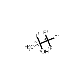 C[C@](O)(I)C(F)(F)F